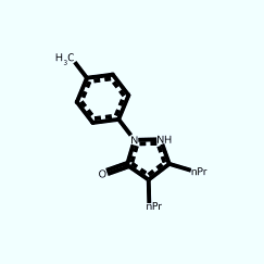 CCCc1[nH]n(-c2ccc(C)cc2)c(=O)c1CCC